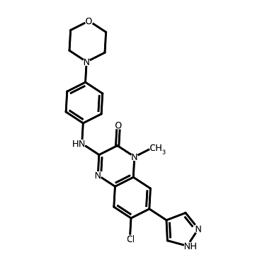 Cn1c(=O)c(Nc2ccc(N3CCOCC3)cc2)nc2cc(Cl)c(-c3cn[nH]c3)cc21